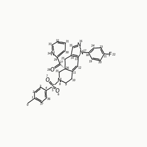 Cc1ccc(S(=O)(=O)N2CCC3=Cc4c(cnn4-c4ccc(F)cc4)C[C@]3(C(=O)c3ccccn3)C2)cc1